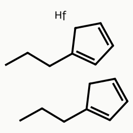 CCCC1=CC=CC1.CCCC1=CC=CC1.[Hf]